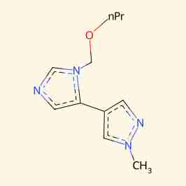 CCCOCn1cncc1-c1cnn(C)c1